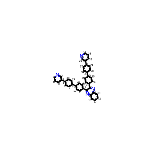 c1cncc(-c2ccc(-c3ccc(-c4nc5ccccc5nc4-c4ccc(-c5ccc(-c6cccnc6)cc5)cc4)cc3)cc2)c1